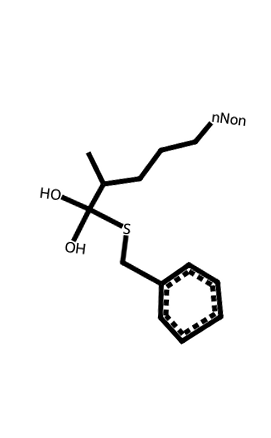 CCCCCCCCCCCCC(C)C(O)(O)SCc1ccccc1